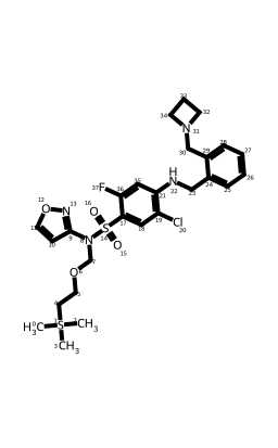 CS(C)(C)CCOCN(c1ccon1)S(=O)(=O)c1cc(Cl)c(NCc2ccccc2CN2CCC2)cc1F